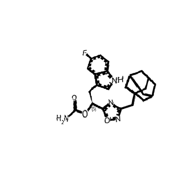 NC(=O)O[C@@H](Cc1c[nH]c2ccc(F)cc12)c1nc(CC23CC4CC(CC(C4)C2)C3)no1